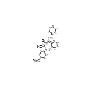 COc1ccc(C2Sc3ccccc3N(CCN3CCCCC3)C(=O)C2O)cc1